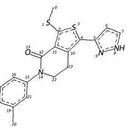 CSc1sc(-c2cc[nH]n2)c2c1C(=O)N(c1cccc(C)c1)CC2